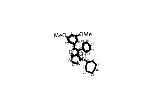 COc1cc(OC)cc(-c2oc3ncnc(NC4CCCCCC4)c3c2-c2ccccc2)c1